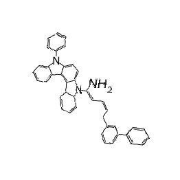 N/C(=C\C=C/Cc1cccc(-c2ccccc2)c1)N1c2ccc3c(c2C2C=CC=CC21)c1ccccc1n3-c1ccccc1